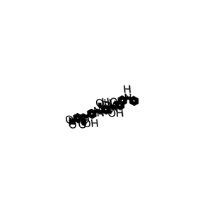 O=[N+]([O-])c1ccc(C=Cc2ccc(N=Nc3cc(O)c(N=Nc4ccc5cc(Nc6ccccc6)ccc5c4O)cc3CO)cc2)c(S(=O)(=O)O)c1